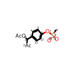 CC(=O)OC(C(C)=O)c1ccc(OS(C)(=O)=O)cc1